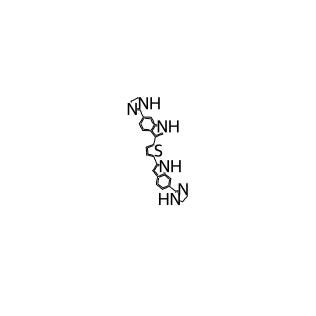 c1cc2cc(-c3ccc(-c4c[nH]c5cc(C6=NCCN6)ccc45)s3)[nH]c2cc1C1=NCCN1